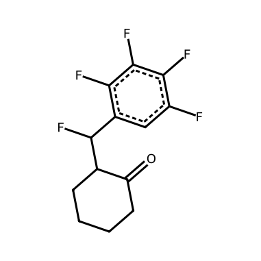 O=C1CCCCC1C(F)c1cc(F)c(F)c(F)c1F